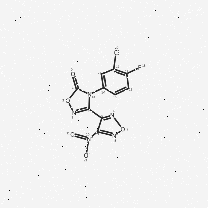 O=c1onc(-c2nonc2[N+](=O)[O-])n1-c1ccc(F)c(Cl)c1